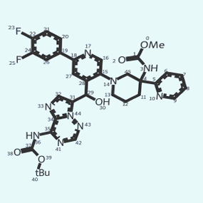 COC(=O)NC1(c2ccccn2)CCCN(c2cnc(-c3ccc(F)c(F)c3)cc2C(O)c2cnc3c(NC(=O)OC(C)(C)C)ncnn23)C1